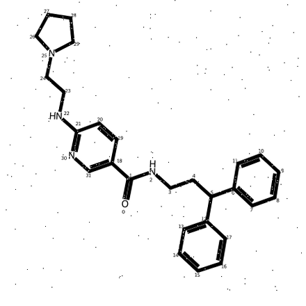 O=C(NCCC(c1ccccc1)c1ccccc1)c1ccc(NCCN2CCCC2)nc1